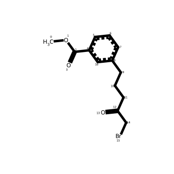 COC(=O)c1cccc(CCCC(=O)CBr)c1